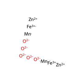 [Fe+3].[Fe+3].[Mn].[Mn].[O-2].[O-2].[O-2].[O-2].[O-2].[Zn+2].[Zn+2]